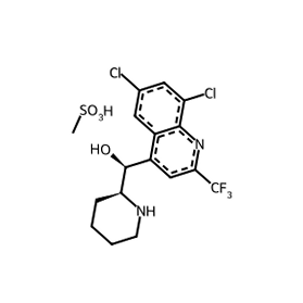 CS(=O)(=O)O.O[C@@H](c1cc(C(F)(F)F)nc2c(Cl)cc(Cl)cc12)[C@@H]1CCCCN1